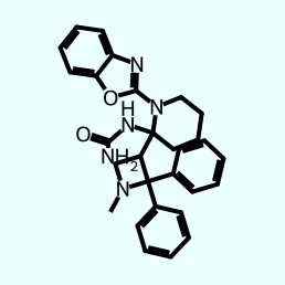 CN1CC(C2(NC(N)=O)CCCCN2c2nc3ccccc3o2)C1(c1ccccc1)c1ccccc1